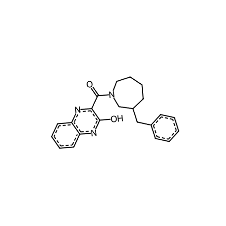 O=C(c1nc2ccccc2nc1O)N1CCCCC(Cc2ccccc2)C1